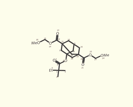 CCC(C)(C)C(=O)OC12CC3CC(C(=O)OCOC)(C1)CC(C(=O)OCOC)(C3)C2